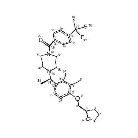 Cc1c(OCC2CCCO2)ccc([C@@H](C)N2CCN(C(=O)c3ccc(C(F)(F)F)cc3)CC2)c1C